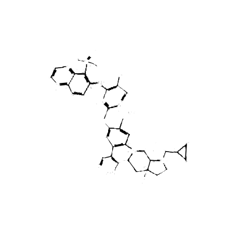 CN/C=C(\C=N)c1cc(Nc2ncc(Br)c(Nc3ccc4nccnc4c3P(C)(C)=O)n2)c(OC)cc1N1CC[C@H]2CCN(CC3CC3)[C@@H]2C1